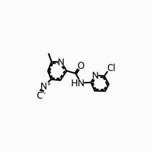 [C-]#[N+]c1cc(C)nc(C(=O)Nc2cccc(Cl)n2)c1